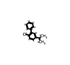 CC(C)c1ccc(Cl)c(-c2ccccc2)c1